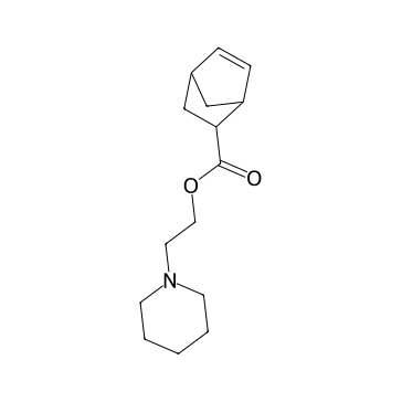 O=C(OCCN1CCCCC1)C1CC2C=CC1C2